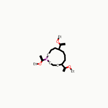 C=C(OCC)C1CCCC(C(=C)OCC)CCCP(C(=C)OCC)CCC1